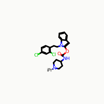 CC(C)N1CCC(NC(=O)Oc2cc3ccccc3n2CCc2ccc(Cl)cc2Cl)CC1